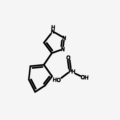 O=[PH](O)O.c1ccc(-c2c[nH]nn2)cc1